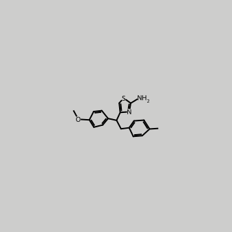 COc1ccc(C(Cc2ccc(C)cc2)c2csc(N)n2)cc1